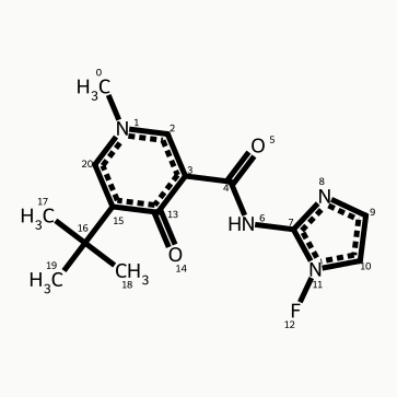 Cn1cc(C(=O)Nc2nccn2F)c(=O)c(C(C)(C)C)c1